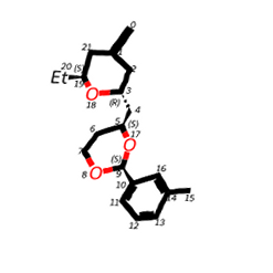 C=C1C[C@H](C[C@@H]2CCO[C@H](c3cccc(C)c3)O2)O[C@@H](CC)C1